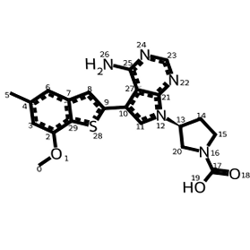 COc1cc(C)cc2cc(-c3cn([C@H]4CCN(C(=O)O)C4)c4ncnc(N)c34)sc12